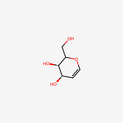 OCC1OC=C[C@@H](O)[C@H]1O